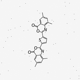 Cc1cc(C)c2nc(-c3ccc(-c4nc5c(C)cc(C)cc5c(=O)o4)s3)oc(=O)c2c1